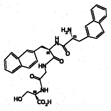 N[C@H](Cc1ccc2ccccc2c1)C(=O)N[C@H](Cc1ccc2ccccc2c1)C(=O)NCC(=O)N[C@H](CO)C(=O)O